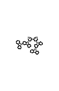 c1ccc2c(c1)c1ccccc1n2-c1ccc2c(c1)c1ccccc1n2-c1cncc(-c2cncc(-n3c4ccccc4c4cc(-n5c6ccccc6c6ccccc65)ccc43)c2)c1